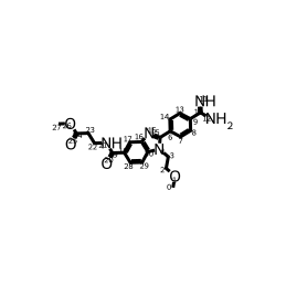 COCCn1c(-c2ccc(C(=N)N)cc2)nc2cc(C(=O)NCCC(=O)OC)ccc21